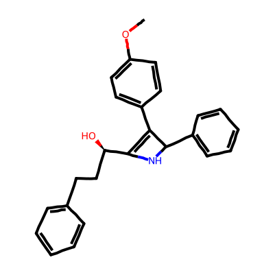 COc1ccc(C2=C([C@H](O)CCc3ccccc3)NC2c2ccccc2)cc1